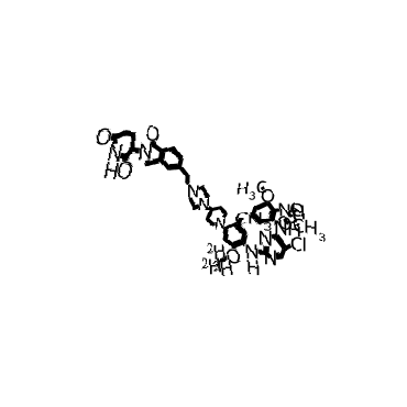 [2H]C([2H])([2H])Oc1cc(N2CCC(N3CCN(CCc4ccc5c(c4)CN(C4CCC(=O)NC4=O)C5=O)CC3)CC2)c(C)cc1Nc1ncc(Cl)c(Nc2cccc(OC)c2NS(C)(=O)=O)n1